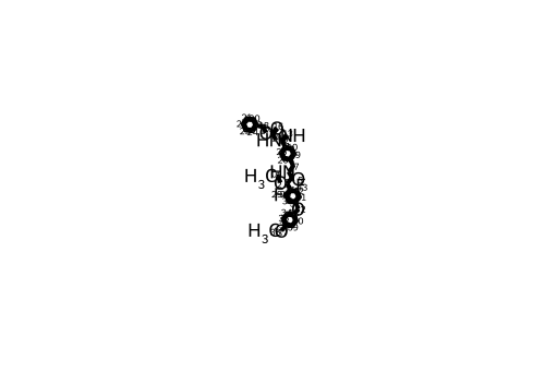 CCOC(C(=O)NCc1ccc(C(=N)NC(=O)OCc2ccccc2)cc1)c1c(F)cc(Oc2ccc(OC)cc2)cc1F